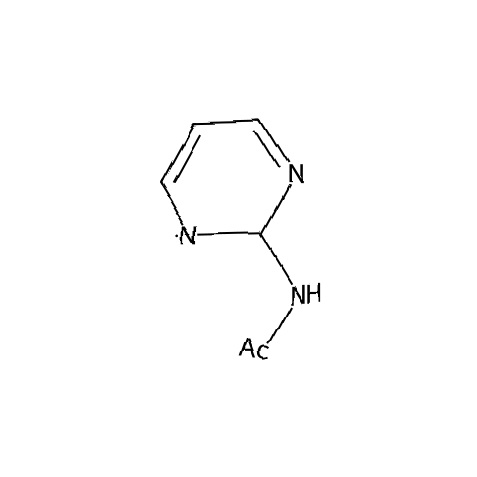 CC(=O)NC1[N]C=CC=N1